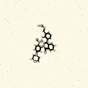 Cc1c(C=NO)cccc1-c1nn(-c2cc(N3CCOCC3)ccc2[N+](=O)[O-])c(=O)c2ccccc12